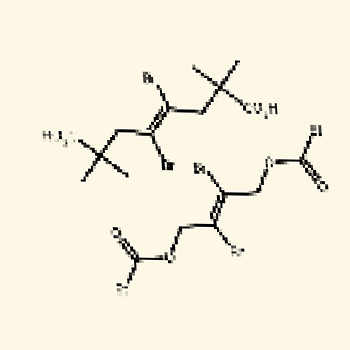 CC(C)(C/C(Br)=C(\Br)CC(C)(C)C(=O)O)C(=O)O.CCC(=O)OC/C(Br)=C(\Br)COC(=O)CC